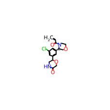 C=CC(=O)N1CCOC[C@H]1c1cc(Cl)cc(C2CNC(=O)CO2)c1